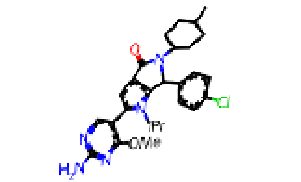 COc1nc(N)ncc1-c1cc2c(n1C(C)C)C(c1ccc(Cl)cc1)N(C1CCC(C)CC1)C2=O